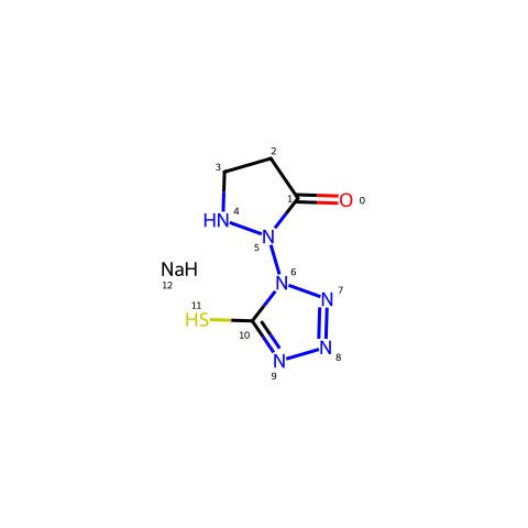 O=C1CCNN1n1nnnc1S.[NaH]